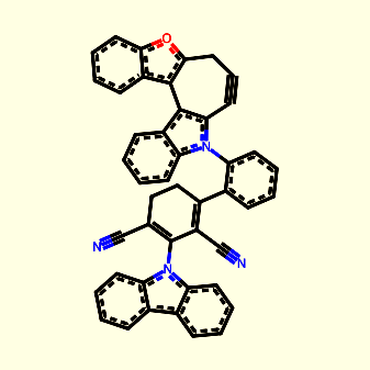 N#CC1=C(n2c3ccccc3c3ccccc32)C(C#N)=C(c2ccccc2-n2c3c(c4ccccc42)-c2c(oc4ccccc24)CC#C3)CC1